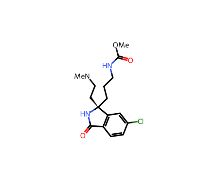 CNCC[C@]1(CCCNC(=O)OC)NC(=O)c2ccc(Cl)cc21